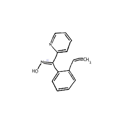 C=Cc1ccccc1/C(=N\O)c1ccccn1